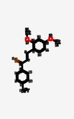 CCCc1ccc(C(=S)C=Cc2ccc(OCC)cc2OCC)cc1